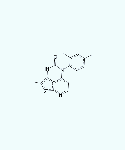 Cc1ccc(N2C(=O)Nc3c(C)sc4nccc2c34)c(C)c1